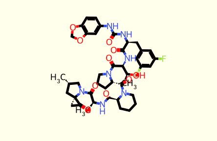 C[C@@H]1CN(C(=O)[C@H](C)NC(=O)[C@@H]2CCCCN2C(=O)[C@@H]2CCCN2C(=O)[C@@H](NC(=O)[C@H](Cc2cc(F)cc(F)c2)NC(=O)Nc2ccc3c(c2)OCO3)[C@H](C)O)[C@]2(CC2=O)C1